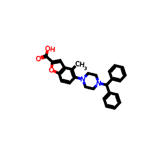 Cc1c(N2CCN(C(c3ccccc3)c3ccccc3)CC2)ccc2oc(C(=O)O)cc12